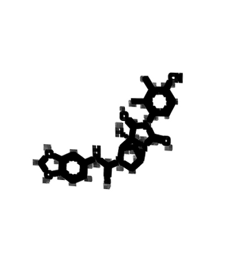 Cc1c(C#N)ccc(N2C(=O)[C@@H]3C4CC(CN4C(=S)Nc4ccc5c(c4)OCO5)N3C2=O)c1C